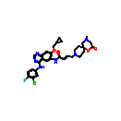 CN1CC(=O)OC2(CCN(CC=CC(=O)Nc3cc4c(Nc5ccc(F)c(Cl)c5)ncnc4cc3OCC3CC3)CC2)C1